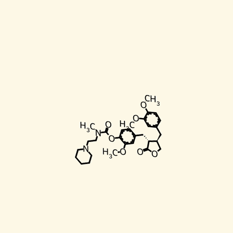 COc1ccc(C[C@H]2COC(=O)[C@@H]2Cc2ccc(OC(=O)N(C)CCN3CCCCC3)c(OC)c2)cc1OC